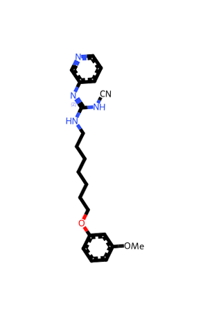 COc1cccc(OCCCCCCCN/C(=N/c2cccnc2)NC#N)c1